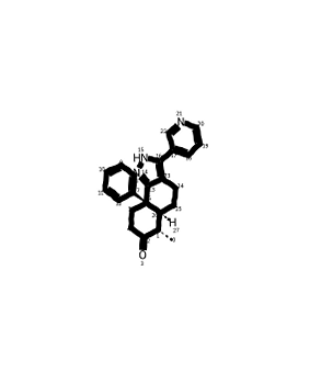 C[C@@H]1C(=O)CC[C@]2(c3ccccc3)c3n[nH]c(-c4cccnc4)c3CC[C@@H]12